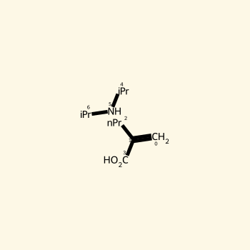 C=C(CCC)C(=O)O.CC(C)NC(C)C